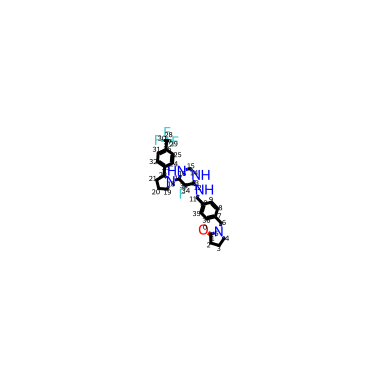 O=C1CCCN1Cc1ccc(CNC2NCNC(N3CCCC3c3ccc(C(F)(F)F)cc3)C2F)cc1